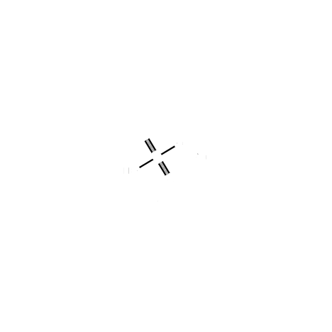 O=S(=O)(O)O.[Au].[Sc]